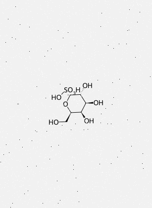 O=S(=O)(O)O.OC[C@H]1O[CH][C@H](O)[C@@H](O)[C@H]1O